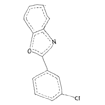 Clc1cccc(-c2nc3c[c]ccc3o2)c1